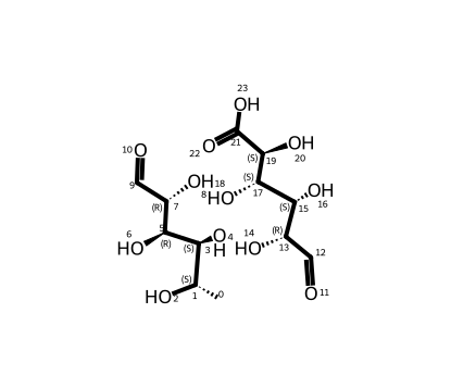 C[C@H](O)[C@H](O)[C@@H](O)[C@@H](O)C=O.O=C[C@H](O)[C@@H](O)[C@H](O)[C@H](O)C(=O)O